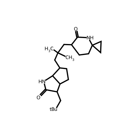 CC(C)(C)CC1C(=O)NC2C(CC(C)(C)CC3CCC4(CC4)NC3=O)CCC12